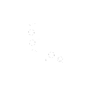 CCOc1cc(C(=O)N2CCC3(CC2)CC(=O)c2cc(-c4ccn[nH]4)ccc2O3)cc(OCC)c1-c1ccc(C(=O)O)cc1